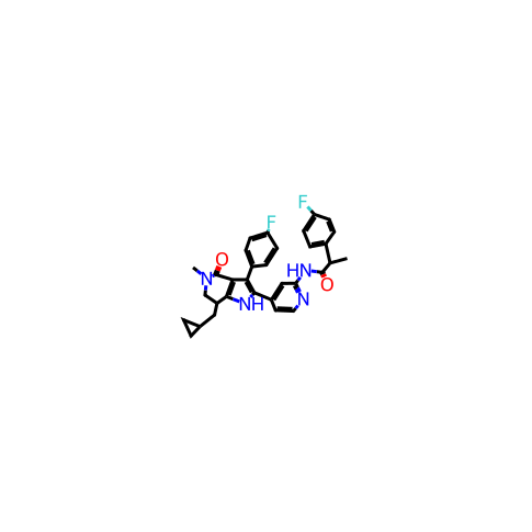 CC(C(=O)Nc1cc(-c2[nH]c3c(c2-c2ccc(F)cc2)C(=O)N(C)CC3CC2CC2)ccn1)c1ccc(F)cc1